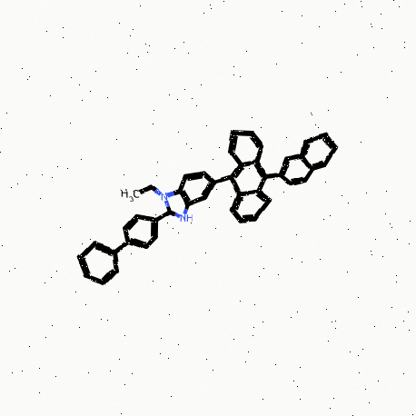 CCN1c2ccc(-c3c4ccccc4c(-c4ccc5ccccc5c4)c4ccccc34)cc2NC1c1ccc(-c2ccccc2)cc1